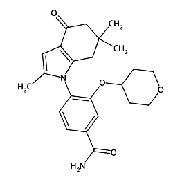 Cc1cc2c(n1-c1ccc(C(N)=O)cc1OC1CCOCC1)CC(C)(C)CC2=O